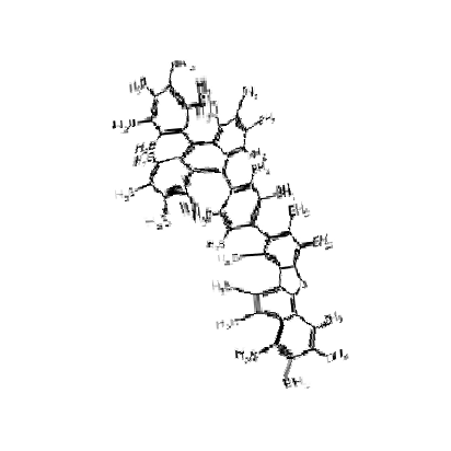 Bc1c(B)c(B)c(-c2c3c(B)c(B)c(B)c(B)c3c(-c3c(B)c(B)c(-c4c(B)c(B)c5oc6c7c(B)c(B)c(B)c(B)c7c(B)c(B)c6c5c4B)c(B)c3B)c3c(B)c(B)c(B)c(B)c23)c(B)c1B